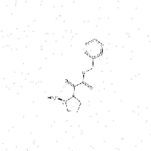 O=C(OCc1ccccc1)C(=O)N1CCC[C@H]1C(=O)O